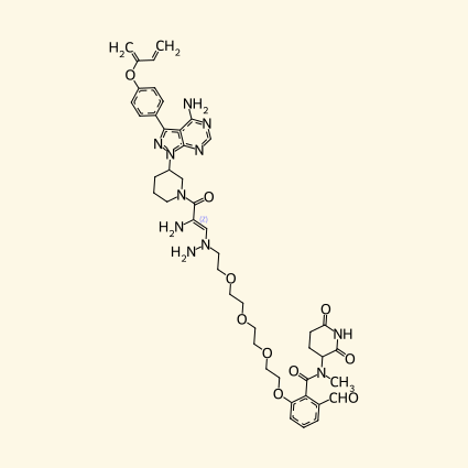 C=CC(=C)Oc1ccc(-c2nn(C3CCCN(C(=O)/C(N)=C/N(N)CCOCCOCCOCCOc4cccc(C=O)c4C(=O)N(C)C4CCC(=O)NC4=O)C3)c3ncnc(N)c23)cc1